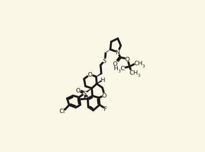 CC(C)(C)OC(=O)N1CCC[C@H]1CSCC[C@@H]1OCC[C@@]2(S(=O)(=O)c3ccc(Cl)cc3)c3c(F)ccc(F)c3OC[C@@H]12